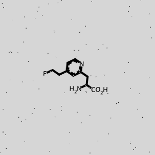 NC(Cc1cc(CCF)ccn1)C(=O)O